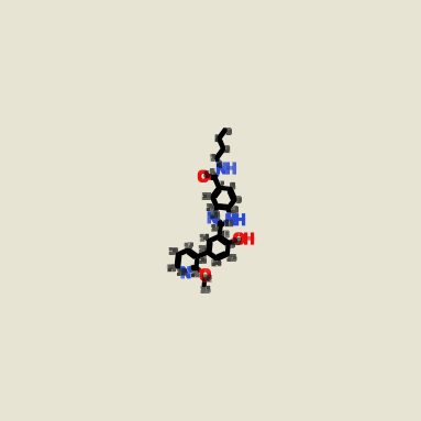 CCCCNC(=O)c1ccc2[nH]c(-c3cc(-c4cccnc4OC)ccc3O)nc2c1